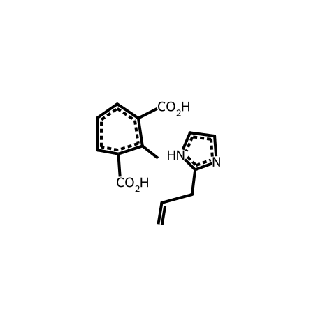 C=CCc1ncc[nH]1.Cc1c(C(=O)O)cccc1C(=O)O